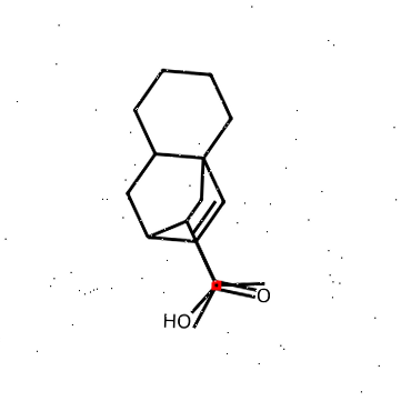 CC(C)C1=CC23CCCCC2CC1C(C(=O)O)C3